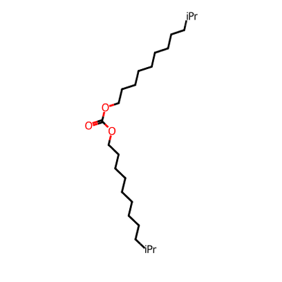 CC(C)CCCCCCCCCOC(=O)OCCCCCCCCCC(C)C